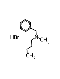 Br.C=CCCN(C)Cc1ccccc1